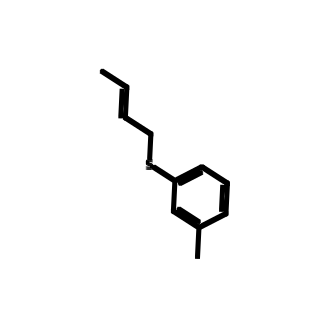 C/C=C/CSc1cccc(C)c1